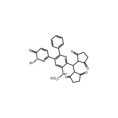 CCOC(=O)Nc1cc(-c2ccc(=O)n(C(C)C)n2)c(-c2ccccc2)nc1C(C1C(=O)CCC1=O)C1C(=O)CCC1=O